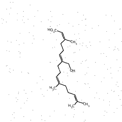 CC(C)=CCCC(C)=CCCC(=CCCC(C)=CC(=O)O)CO